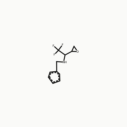 FC(F)(F)C(NCc1ccccc1)C1CO1